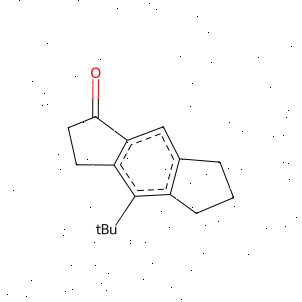 CC(C)(C)c1c2c(cc3c1CCC3=O)CCC2